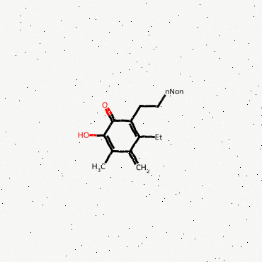 C=C1C(C)=C(O)C(=O)C(CCCCCCCCCCC)=C1CC